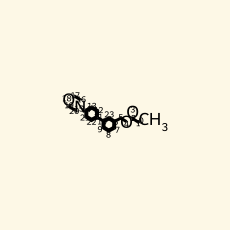 CCC(=O)OCc1cccc(-c2ccc(N3CCOCC3)cc2)c1